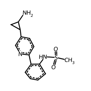 CS(=O)(=O)Nc1ccccc1-c1ccc(C2CC2N)cn1